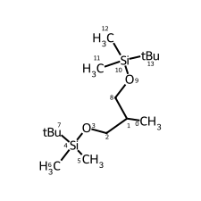 CC(CO[Si](C)(C)C(C)(C)C)CO[Si](C)(C)C(C)(C)C